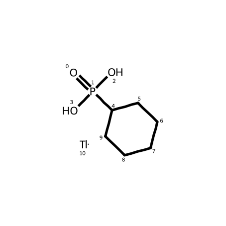 O=P(O)(O)C1CCCCC1.[Tl]